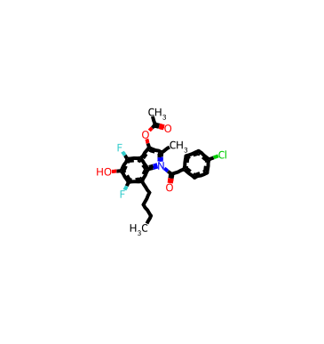 CCCCc1c(F)c(O)c(F)c2c(OC(C)=O)c(C)n(C(=O)c3ccc(Cl)cc3)c12